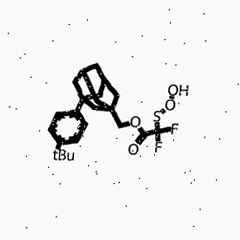 CC(C)(C)c1ccc(C23CC4CC(CC(COC(=O)C(F)(F)SOO)(C4)C2)C3)cc1